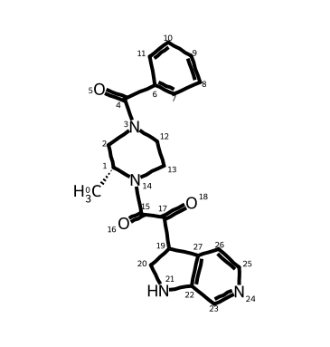 C[C@@H]1CN(C(=O)c2ccccc2)CCN1C(=O)C(=O)C1CNc2cnccc21